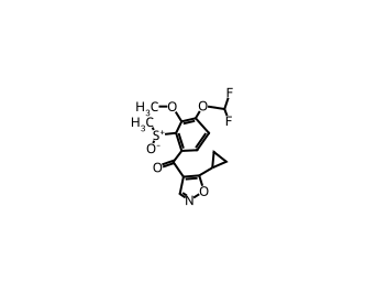 COc1c(OC(F)F)ccc(C(=O)c2cnoc2C2CC2)c1[S+](C)[O-]